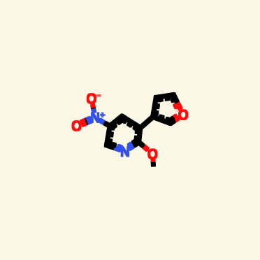 COc1ncc([N+](=O)[O-])cc1-c1ccoc1